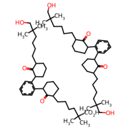 CC(C)(CO)CCCCC1CCCC(c2ccccc2C2CCCC(CCCCC(C)(C)C(=O)O)C2=O)C1=O.CC(C)(CO)CCCCC1CCCC(c2ccccc2C2CCCC(CCCCC(C)(C)CO)C2=O)C1=O